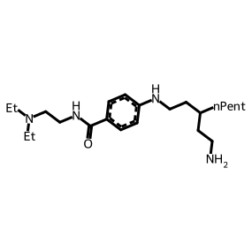 CCCCCC(CCN)CCNc1ccc(C(=O)NCCN(CC)CC)cc1